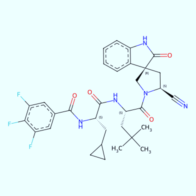 CC(C)(C)C[C@H](NC(=O)[C@H](CC1CC1)NC(=O)c1cc(F)c(F)c(F)c1)C(=O)N1C[C@]2(C[C@H]1C#N)C(=O)Nc1ccccc12